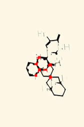 C=C1NC(=O)N(c2nc3ccccc3n([C@H]3C[C@H]4CCC[C@@H](C3)N4[C@H]3C[C@@H]4CCC[C@@H](C4)C3)c2=O)C=C1Br